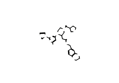 O=C(CC1CN(C(=O)C2CCOC2)CCN1c1cc(Cl)nc(-n2ccnc2)n1)NCc1ccc2c(c1)OCCO2